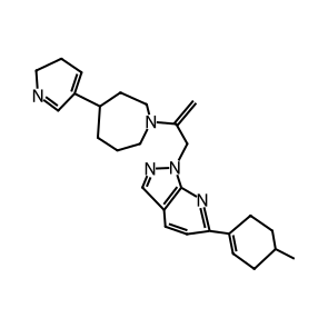 C=C(Cn1ncc2ccc(C3=CCC(C)CC3)nc21)N1CCCC(C2=CCCN=C2)CC1